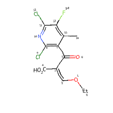 CCO/C=C(/C(=O)O)C(=O)c1c(Cl)nc(Cl)c(F)c1C